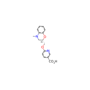 CN1C[C@@H](COc2ccc(C(=O)O)cn2)Oc2ccccc21